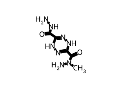 CN(N)C(=O)C1=NNC(C(=O)NN)=NN1